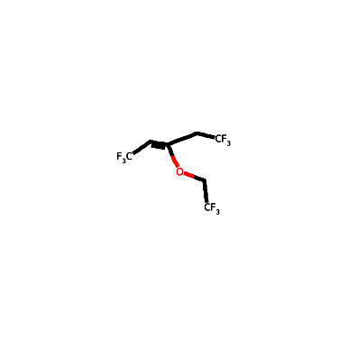 FC(F)(F)/C=C(/CC(F)(F)F)OCC(F)(F)F